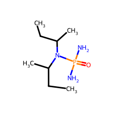 CCC(C)N(C(C)CC)P(N)(N)=O